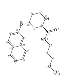 COCCCNC(=O)[C@H]1C[C@H](Oc2ccc3cnccc3c2)CCN1